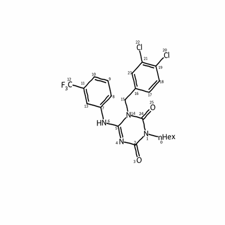 CCCCCCn1c(=O)nc(Nc2cccc(C(F)(F)F)c2)n(Cc2ccc(Cl)c(Cl)c2)c1=O